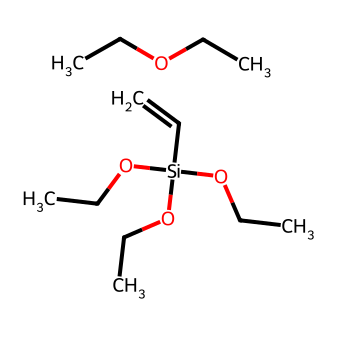 C=C[Si](OCC)(OCC)OCC.CCOCC